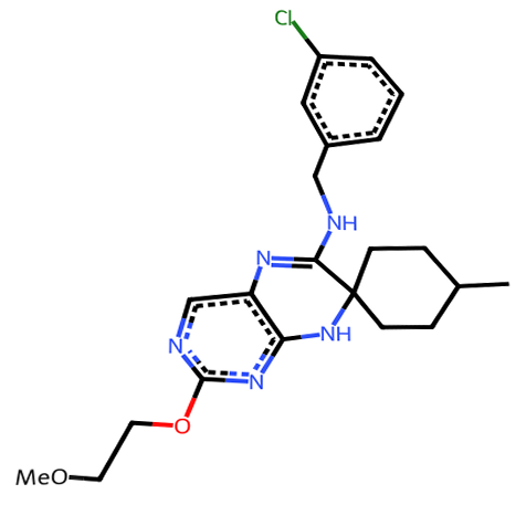 COCCOc1ncc2c(n1)NC1(CCC(C)CC1)C(NCc1cccc(Cl)c1)=N2